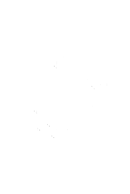 CN1CCCC(=O)NCCc2cccc(c2)Nc2ncnc(n2)-c2cccc(c2)CCC1